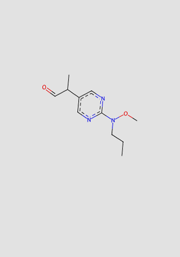 CCCN(OC)c1ncc(C(C)C=O)cn1